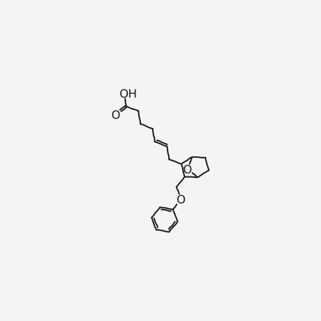 O=C(O)CCCC=CCC1C2CCC(O2)C1COc1ccccc1